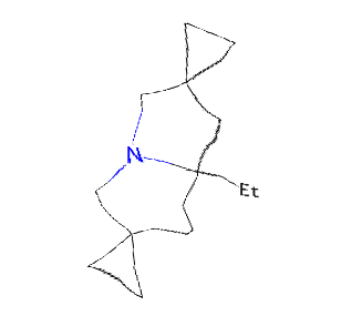 CCC12CC3(CC3)CN1CC1(CC1)C2